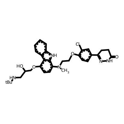 CN(CCOc1ccc(C2=NNC(=O)CC2)cc1Cl)c1ccc(OCC(O)CNC(C)(C)C)c2c1[nH]c1ccccc12